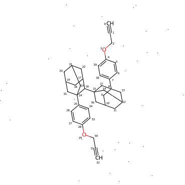 C#CCOc1ccc(C23CC4CC(C2)CC(C2C5CC6CC(C5)CC2(c2ccc(OCC#C)cc2)C6)(C4)C3)cc1